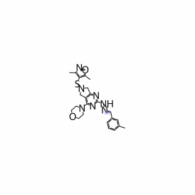 Cc1cccc(/C=N/Nc2nc3c(c(N4CCOCC4)n2)CN(Sc2c(C)noc2C)C3)c1